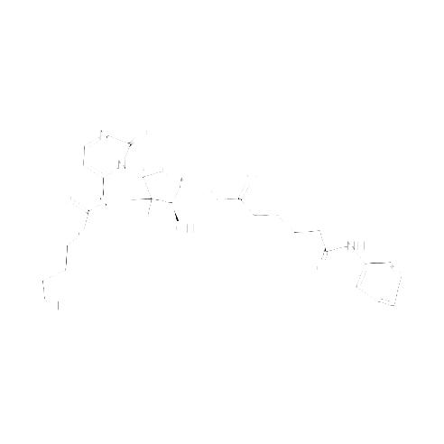 CCCCOC(=O)Nc1ccnc(=O)n1[C@@H]1O[C@H](COC(=O)CCCCC(=O)Nc2ccccc2)[C@@H](O)C1(F)F